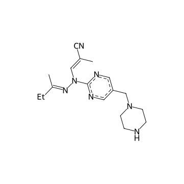 CC/C(C)=N/N(/C=C(\C)C#N)c1ncc(CN2CCNCC2)cn1